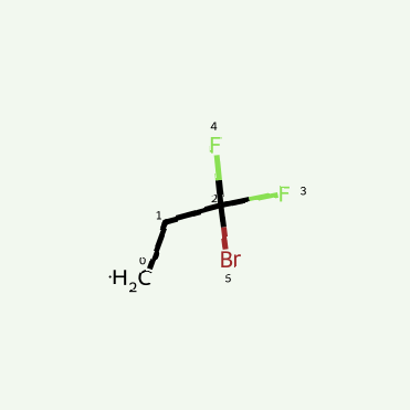 [CH2]CC(F)(F)Br